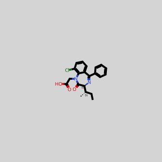 CC[C@H](C)[C@@H]1N=C(c2ccccc2)c2cccc(Cl)c2N(CC(=O)O)C1=O